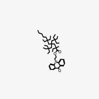 CCCCCC(CC)(CC)CC(CC(CC)(CC)CC)(CC(CC)(CC)CC)CC(C)(CC)C(=O)OCCn1c2ccccc2c(=O)c2ccccc21